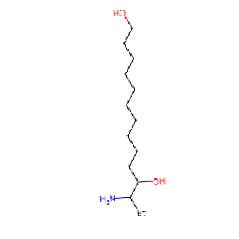 CCC(N)C(O)CCCCCCCCCCO